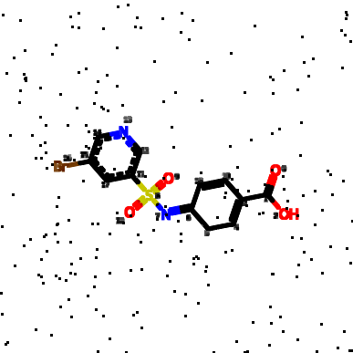 O=C(O)C1=CCC(=NS(=O)(=O)c2cncc(Br)c2)C=C1